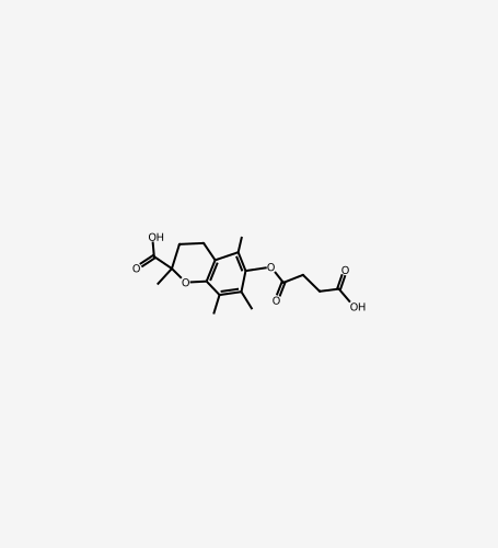 Cc1c(C)c2c(c(C)c1OC(=O)CCC(=O)O)CCC(C)(C(=O)O)O2